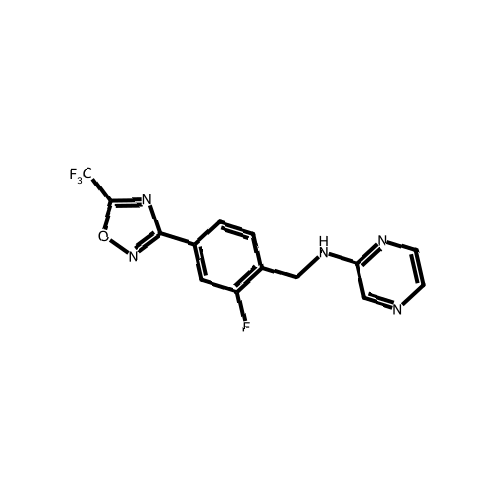 Fc1cc(-c2noc(C(F)(F)F)n2)ccc1CNc1cnccn1